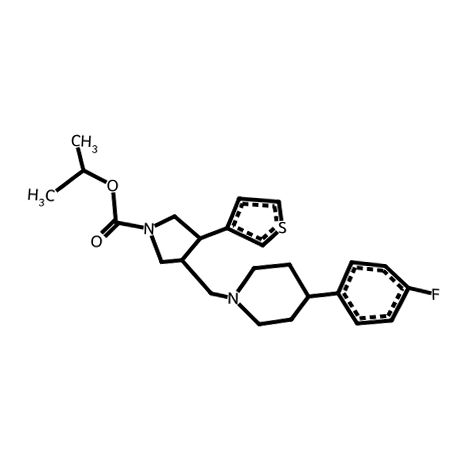 CC(C)OC(=O)N1CC(CN2CCC(c3ccc(F)cc3)CC2)C(c2ccsc2)C1